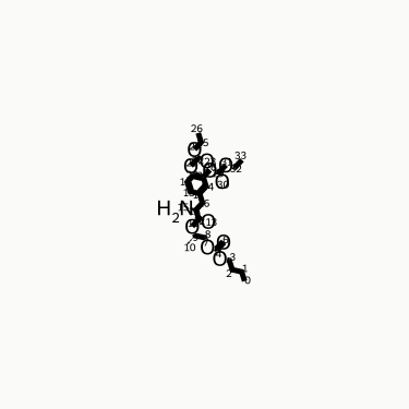 CCCCOC(=O)OC[C@H](C)OC(=O)[C@@H](N)Cc1ccc(OC(=O)OCC)c(OC(=O)OCC)c1